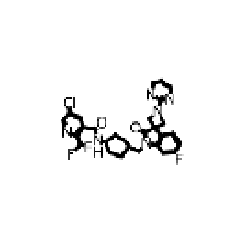 O=C(NC1CCC(CN2C(=O)C3(CN(c4ncccn4)C3)c3ccc(F)cc32)CC1)c1cc(Cl)cnc1C(F)F